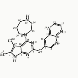 CCc1[nH]c2nc(Sc3cnc4nccnc4c3)nc(N3CCCNCC3)c2c1Cl